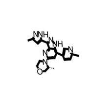 Cc1ccc(-c2cc(N3CCOC[C@H]3C)nc3c(-c4cc(C)n[nH]4)n[nH]c23)cn1